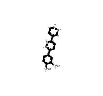 COc1ccc(-c2ccc(-c3[c]nncc3)nn2)cc1OC